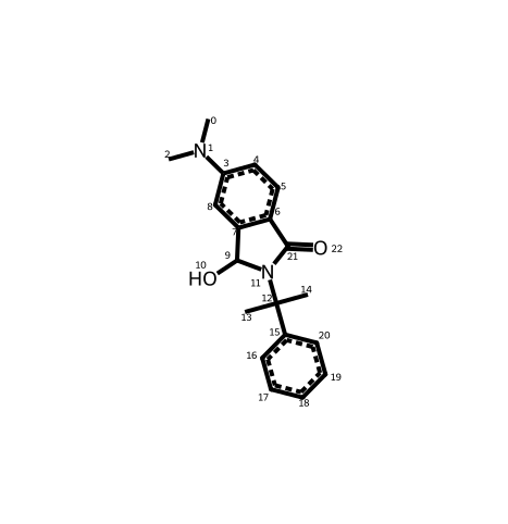 CN(C)c1ccc2c(c1)C(O)N(C(C)(C)c1ccccc1)C2=O